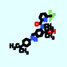 CC(C)[C@H]1CC[C@H](n2cc3cc(N(C)C(=O)c4cccc(C(F)(F)F)n4)c(C(C)(C)O)cc3n2)CC1